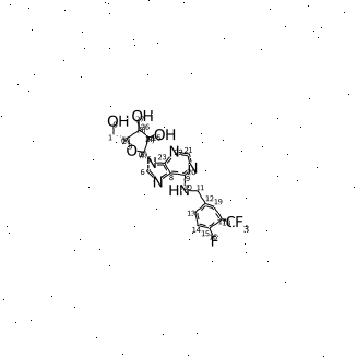 OC[C@H]1O[C@@H](n2cnc3c(NCc4ccc(F)c(C(F)(F)F)c4)ncnc32)[C@H](O)[C@@H]1O